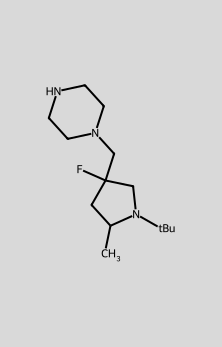 CC1CC(F)(CN2CCNCC2)CN1C(C)(C)C